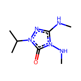 CNc1nn(C(C)C)c(=O)n1NC